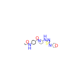 C=CC(=O)Nc1ccc(C(=O)N2CCCC(Nc3ncc(N(C)C4CCOCC4)s3)C2)cc1